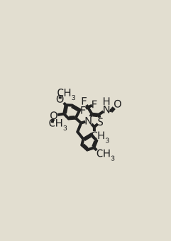 COc1ccc(C(Cc2ccc(C)cc2)N2C(C(F)(F)F)=C(NC=O)SC2C)cc1OC